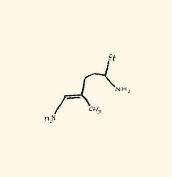 CCC(N)C/C(C)=C/N